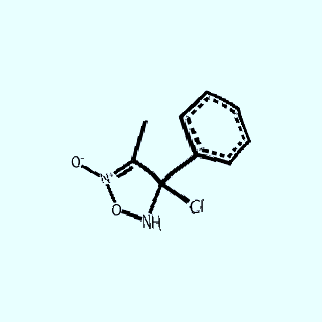 CC1=[N+]([O-])ONC1(Cl)c1ccccc1